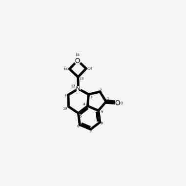 O=C1CC2c3c(cccc31)CCN2C1COC1